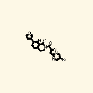 CC1c2cc(-c3ccoc3)ccc2CCN1C(=O)c1cc2ncc(Br)cn2n1